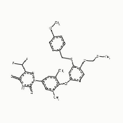 COCOc1cnc(Oc2c(C)cc(-n3nc(C(F)F)c(=O)[nH]c3=O)cc2C)cc1SCc1ccc(OC)cc1